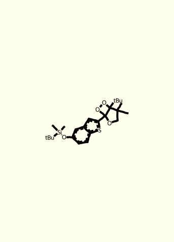 CC(C)(C)C12OOC1(c1cc3cc(O[Si](C)(C)C(C)(C)C)ccc3s1)OCC2(C)C